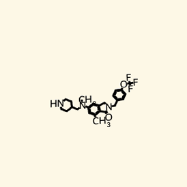 Cc1cc(N(C)CC2CCNCC2)cc2c1C(=O)N(Cc1ccc(OC(F)(F)F)cc1)C2